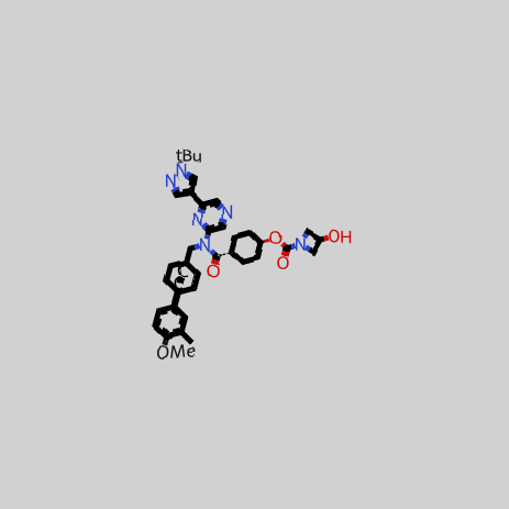 COc1ccc(C23CCC(CN(c4cncc(-c5cnn(C(C)(C)C)c5)n4)C(=O)[C@H]4CC[C@H](OC(=O)N5CC(O)C5)CC4)(CC2)CC3)cc1C